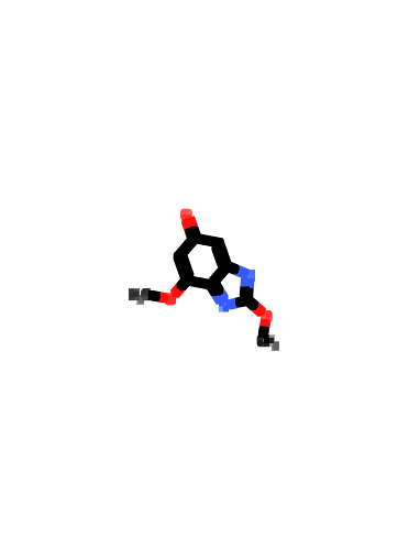 COC1=CC(=O)C=C2N=C(OC)N=C21